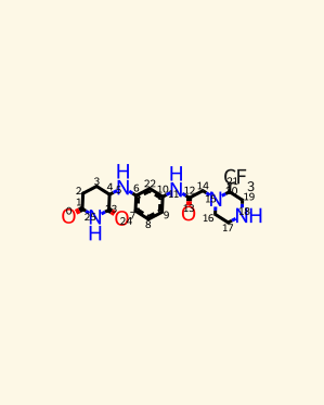 O=C1CCC(Nc2cccc(NC(=O)CN3CCNCC3C(F)(F)F)c2)C(=O)N1